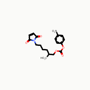 O=C(OCC(CCCCN1C(=O)C=CC1=O)C(=O)O)Oc1ccc([N+](=O)[O-])cc1